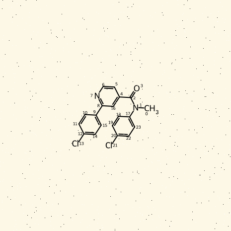 CN(C(=O)c1ccnc(-c2ccc(Cl)cc2)c1)c1ccc(Cl)cc1